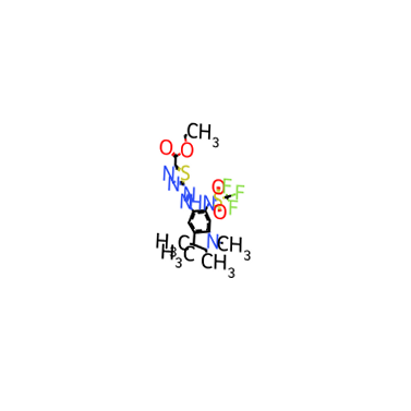 CCOC(=O)c1nnc(N=Nc2cc3c(cc2NS(=O)(=O)C(F)(F)F)N(C)C(C)C3(C)C)s1